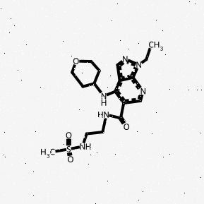 CCn1ncc2c(NC3CCOCC3)c(C(=O)NCCNS(C)(=O)=O)cnc21